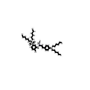 CCCCCCN(CCCCCC)c1ccc(C=C/C(=N\C)Sc2cc(S(=O)(=O)N(CCCCCC)CCCCCC)ccc2C)cc1